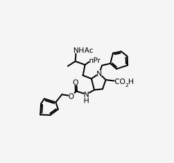 CCCC(CC1C(NC(=O)OCc2ccccc2)CC(C(=O)O)N1Cc1ccccc1)C(C)NC(C)=O